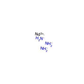 [NH2-].[NH2-].[NH2-].[Nd+3]